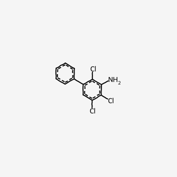 Nc1c(Cl)c(Cl)cc(-c2ccccc2)c1Cl